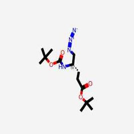 CC(C)(C)OC(=O)CC[C@@H](CN=[N+]=[N-])NC(=O)OC(C)(C)C